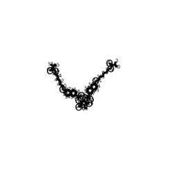 C=C(C)C(=O)OCCCCCCOc1ccc2cc(C(=O)O[C@H]3C(=O)N(C)C(=O)[C@@H]3OC(=O)c3ccc4cc(OCCCCCCOC(=O)C(=C)C)ccc4c3)ccc2c1